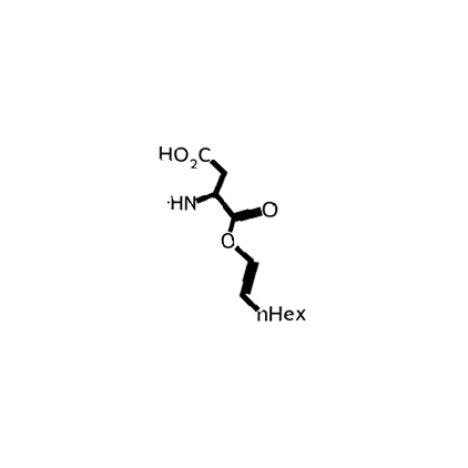 CCCCCCC=COC(=O)C([NH])CC(=O)O